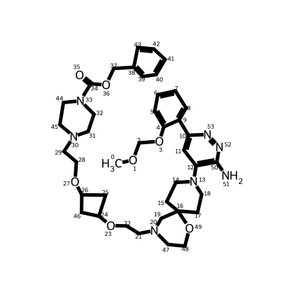 COCOc1ccccc1-c1cc(N2CCC3(CC2)CN(CCOC2CC(OCCN4CCN(C(=O)OCc5ccccc5)CC4)C2)CCO3)c(N)nn1